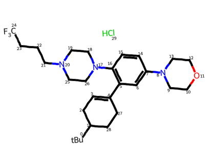 CC(C)(C)C1CC=C(c2cc(N3CCOCC3)ccc2N2CCN(CCCC(F)(F)F)CC2)CC1.Cl